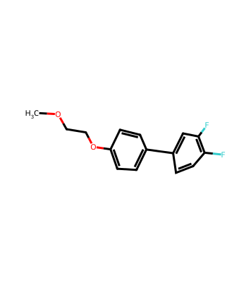 COCCOc1ccc(-c2ccc(F)c(F)c2)cc1